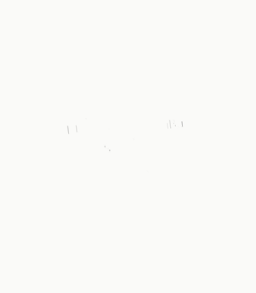 CC/C(C)=c1/cc/c(=C(/C)c2ccccc2CC(C)CC)s1